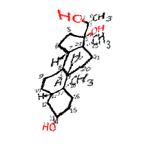 C[C@@H](O)[C@@]1(O)CC[C@H]2[C@@H]3CC[C@H]4C[C@@H](O)CC[C@]4(C)[C@H]3CC[C@@]21C